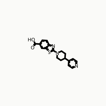 O=C(O)c1ccc2nc(N3CCC(c4ccncc4)CC3)sc2c1